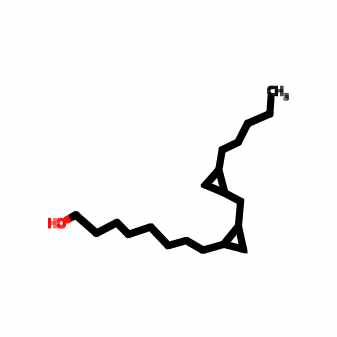 CCCCCC1CC1CC1CC1CCCCCCCCO